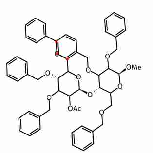 CO[C@H]1OC(COCc2ccccc2)[C@H](O[C@@H]2OC(COCc3ccccc3)[C@@H](OCc3ccccc3)C(OCc3ccccc3)C2OC(C)=O)C(OCc2ccccc2)C1OCc1ccccc1